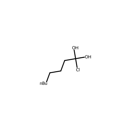 CCCCCCCC(O)(O)Cl